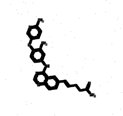 Cc1ccc(Oc2ccc(Nc3ncnc4ccc(/C=C/CCC(N)=O)cc34)cc2C)cn1